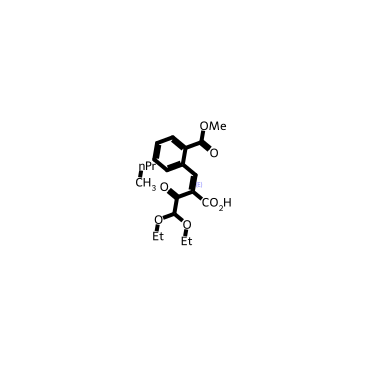 CCCC.CCOC(OCC)C(=O)/C(=C\c1ccccc1C(=O)OC)C(=O)O